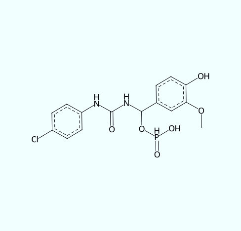 COc1cc(C(NC(=O)Nc2ccc(Cl)cc2)O[PH](=O)O)ccc1O